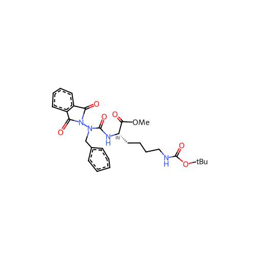 COC(=O)[C@H](CCCCNC(=O)OC(C)(C)C)NC(=O)N(Cc1ccccc1)N1C(=O)c2ccccc2C1=O